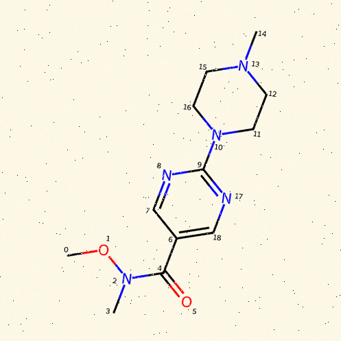 CON(C)C(=O)c1cnc(N2CCN(C)CC2)nc1